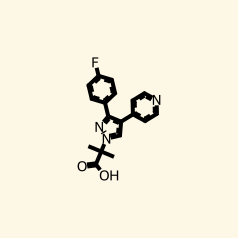 CC(C)(C(=O)O)n1cc(-c2ccncc2)c(-c2ccc(F)cc2)n1